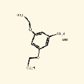 O=C(O)COc1cc(OCC(=O)O)cc(S(=O)(=O)O)c1.[NaH]